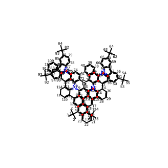 CC(C)(C)c1cc(-c2cc3c4c(c2)N(C2C(C5=CC(C6=CCCC=C6)=CCC5)=CC=CC2C2=CC=CC(c5ccccc5)C2)c2cc(-n5c6ccc(C(C)(C)C)cc6c6cc(C(C)(C)C)ccc65)ccc2B4c2ccc(-n4c5ccc(C(C)(C)C)cc5c5cc(C(C)(C)C)ccc54)cc2N3C2=C(C3=CC=CC(c4ccccc4)C3)CCC=C2c2cccc(-c3ccccc3)c2)cc(C(C)(C)C)c1